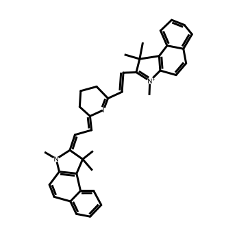 CN1/C(=C/C=C2\CCCC(/C=C/C3=[N+](C)c4ccc5ccccc5c4C3(C)C)=I2)C(C)(C)c2c1ccc1ccccc21